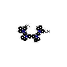 N#Cc1ccc(N(c2ccc(N(C3=c4ccccc4=CCC3)c3ccc(-c4ccc(N(c5ccc(N(c6ccc(C#N)cc6)c6cccc7ccccc67)cc5)c5cccc6ccccc56)cc4)cc3)cc2)c2cccc3ccccc23)cc1